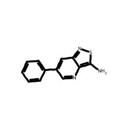 Nc1snc2cc(-c3ccccc3)cnc12